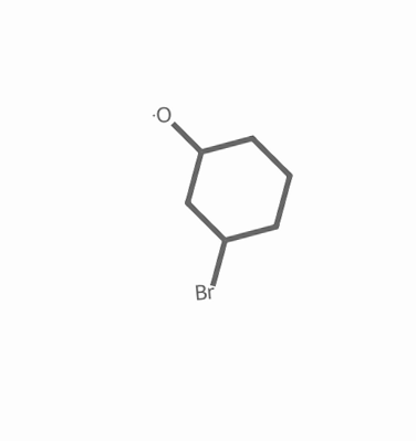 [O]C1CCCC(Br)C1